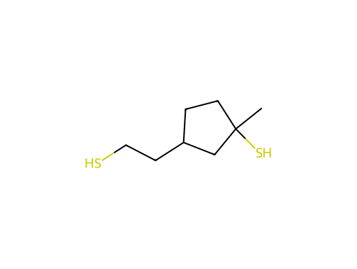 CC1(S)CCC(CCS)C1